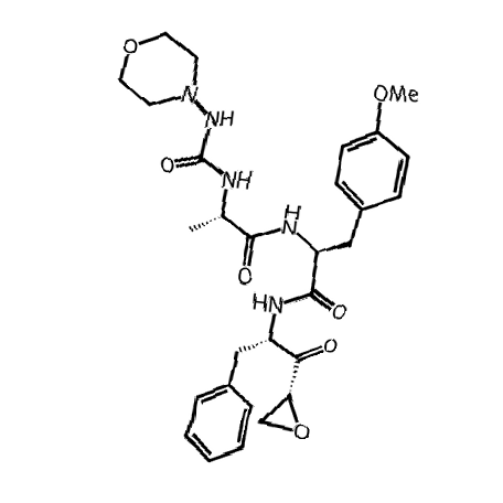 COc1ccc(C[C@H](NC(=O)[C@H](C)NC(=O)NN2CCOCC2)C(=O)N[C@@H](Cc2ccccc2)C(=O)[C@H]2CO2)cc1